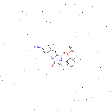 CCC(=O)Oc1c(F)cccc1NC(=O)[C@H](Cc1ccc(N)cc1)NC(=O)C(F)(F)F